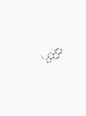 C[C@@H]1C[C@H]2[C@@H]3C=C(Cl)C4=CC(=O)C=C[C@]4(C)[C@H]3[C@@H](O)C[C@]2(C)[C@H]1C(=O)CO